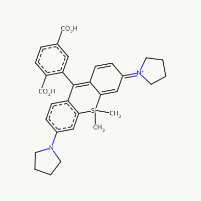 C[Si]1(C)C2=CC(=[N+]3CCCC3)C=CC2=C(c2cc(C(=O)O)ccc2C(=O)O)c2ccc(N3CCCC3)cc21